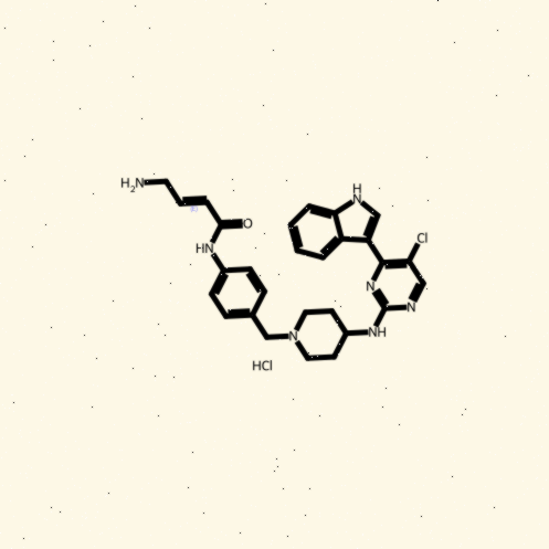 Cl.NC/C=C/C(=O)Nc1ccc(CN2CCC(Nc3ncc(Cl)c(-c4c[nH]c5ccccc45)n3)CC2)cc1